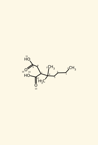 CCCCC(C)(C)C(CC(=O)O)C(=O)O